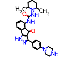 CC1CCCC(C)N1NC(=O)Nc1cccc2c1C(=O)c1c(-c3ccc(N4CCNCC4)cc3)n[nH]c1-2